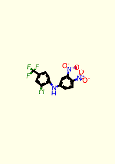 O=[N+]([O-])c1ccc(Nc2ccc(C(F)(F)F)cc2Cl)cc1[N+](=O)[O-]